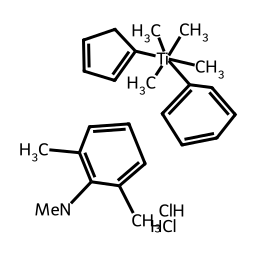 CNc1c(C)cccc1C.Cl.Cl.[CH3][Ti]([CH3])([CH3])([CH3])([C]1=CC=CC1)[c]1ccccc1